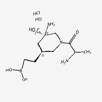 CC(N)C(=O)N1C[C@@H](CCB(O)O)C[C@](N)(C(=O)O)C1.Cl.Cl